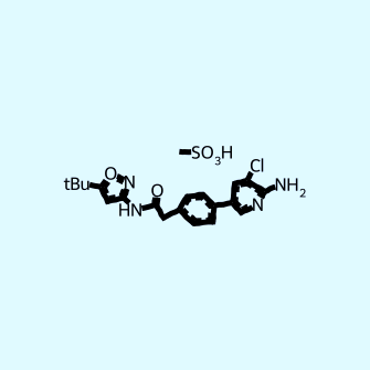 CC(C)(C)c1cc(NC(=O)Cc2ccc(-c3cnc(N)c(Cl)c3)cc2)no1.CS(=O)(=O)O